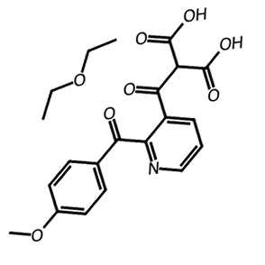 CCOCC.COc1ccc(C(=O)c2ncccc2C(=O)C(C(=O)O)C(=O)O)cc1